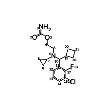 NC(=O)OCCN(C1CC1)C(c1cccc(Cl)c1F)C1CCC1